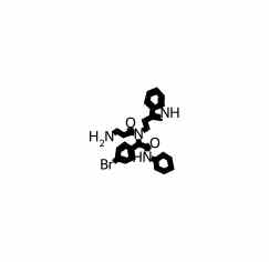 NCCC(=O)N(CCc1c[nH]c2ccccc12)C(C(=O)NC1CCCCC1)c1ccc(Br)cc1